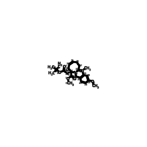 COC(=O)[C@]1(NC(=O)OC(C)(C)C)CC=CCCC(=O)N1Cc1ccc(OC)cc1OC